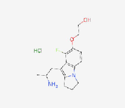 CC(N)Cc1c2n(c3ccc(OCCO)c(F)c13)CCC2.Cl